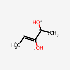 CC=C(O)C(C)O